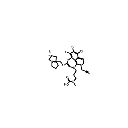 CN(CCCN1C=C(OC[C@@]23CCCN2C[C@H](F)C3)Oc2c(F)c(Br)c(Cl)c3c2=C1N(CC#N)CN=3)C(=O)O